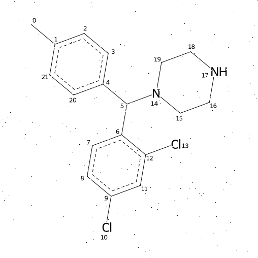 Cc1ccc(C(c2ccc(Cl)cc2Cl)N2CCNCC2)cc1